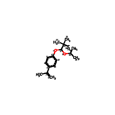 C=C(C)c1ccc(OC(OC(C)C)C(C)(C)C)cc1